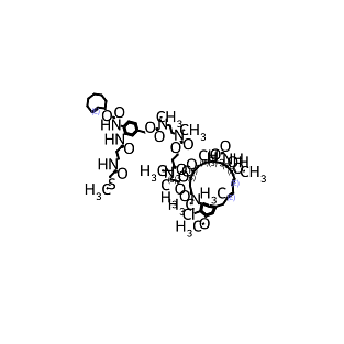 COc1cc2cc(c1Cl)N(C)C(=O)C[C@H](OC(=O)[C@H](C)N(C)C(=O)CCOC(=O)N(C)CCN(C)C(=O)OCc1ccc(NC(=O)OC3/C=C/CCCCC3)c(NC(=O)CCNC(=O)CSC)c1)[C@]1(C)OC1[C@H](C)[C@@H]1C[C@@](O)(NC(=O)O1)[C@H](OC)/C=C/C=C(\C)C2